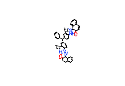 CCc1cc(C(c2ccccc2)c2ccc(N/N=C3\C(=O)C=Cc4ccccc43)c(CC)c2)ccc1N/N=C1\C(=O)C=Cc2ccccc21